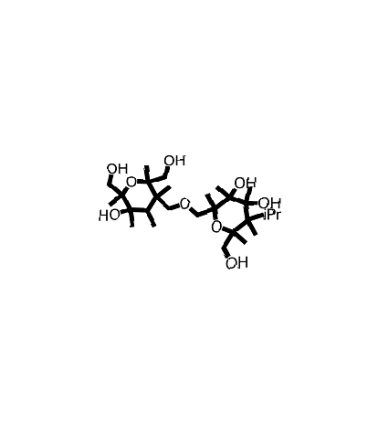 CC1C(C)(O)C(C)(CO)OC(C)(CO)C1(C)COCC1(C)OC(C)(CO)C(C)(C(C)C)C(C)(O)C1(C)O